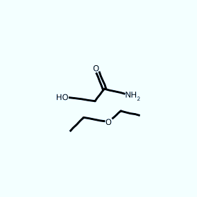 CCOCC.NC(=O)CO